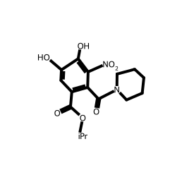 CC(C)OC(=O)c1cc(O)c(O)c([N+](=O)[O-])c1C(=O)N1CCCCC1